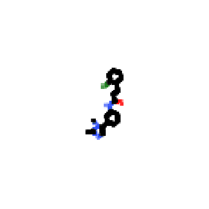 Cc1ncc(-c2cccc(NC(=O)C=Cc3ccccc3Cl)c2)n1C